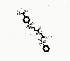 CCNC(=N)c1ccc(S(=O)(=O)NCCC(=O)NCC(NS(=O)(=O)c2ccccc2)C(=O)O)cc1